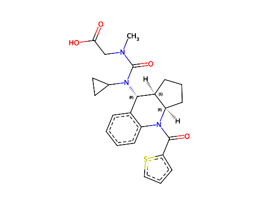 CN(CC(=O)O)C(=O)N(C1CC1)[C@H]1c2ccccc2N(C(=O)c2cccs2)[C@@H]2CCC[C@@H]21